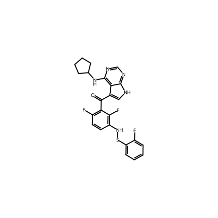 O=C(c1c(F)ccc(NSc2ccccc2F)c1F)c1c[nH]c2ncnc(NC3CCCC3)c12